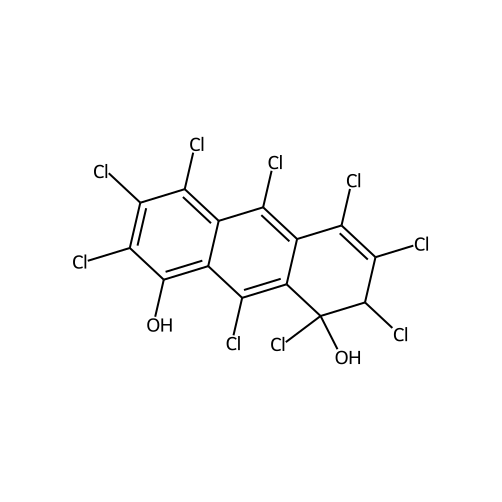 Oc1c(Cl)c(Cl)c(Cl)c2c(Cl)c3c(c(Cl)c12)C(O)(Cl)C(Cl)C(Cl)=C3Cl